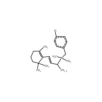 CC1=C(C=CC(C)[N+](C)(C)Cc2ccc(Cl)cc2)C(C)(C)CCC1.[I-]